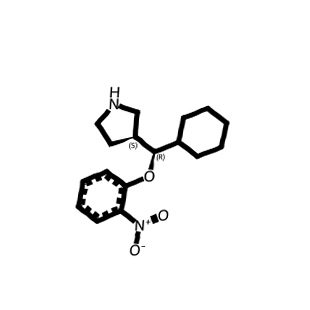 O=[N+]([O-])c1ccccc1O[C@H](C1CCCCC1)[C@H]1CCNC1